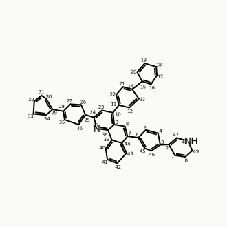 C1=CC(c2ccc(-c3cc4c(-c5ccc(-c6ccccc6)cc5)cc(-c5ccc(-c6ccccc6)cc5)nc4c4ccccc34)cc2)=CNC1